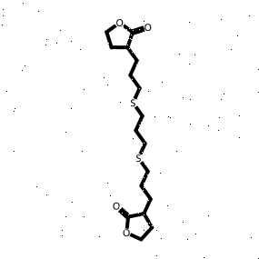 O=C1OCCC1CCCSCCCSCCCC1CCOC1=O